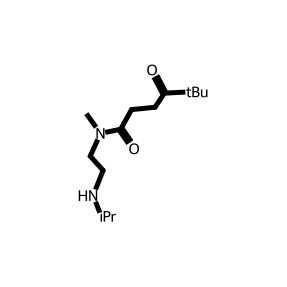 CC(C)NCCN(C)C(=O)CCC(=O)C(C)(C)C